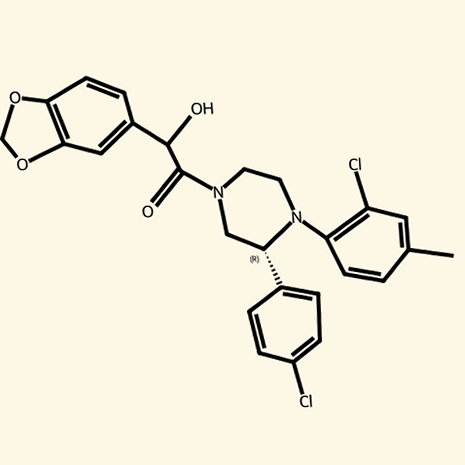 Cc1ccc(N2CCN(C(=O)C(O)c3ccc4c(c3)OCO4)C[C@H]2c2ccc(Cl)cc2)c(Cl)c1